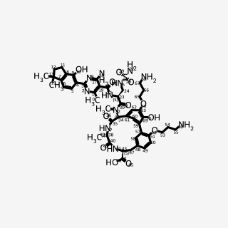 Cc1nc(-c2ccc3c(c2O)CCC3(C)C)nc(N)c1C(=O)N[C@@H](CNS(N)(=O)=O)C(=O)N(C)[C@@H]1C(=O)N[C@@H](C)C(=O)N[C@H](C(=O)O)Cc2ccc(OCCCN)c(c2)-c2cc1cc(OCCCN)c2O